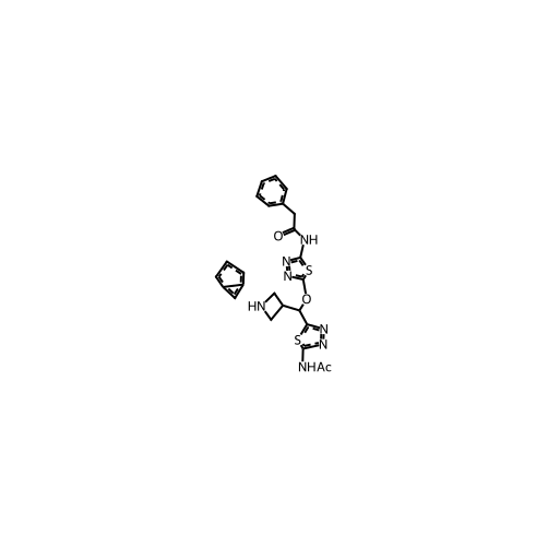 CC(=O)Nc1nnc(C(Oc2nnc(NC(=O)Cc3ccccc3)s2)C2CNC2)s1.c1cc2cc-2c1